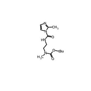 Cc1nccn1C(=O)NCCN(C)C(=O)OC(C)(C)C